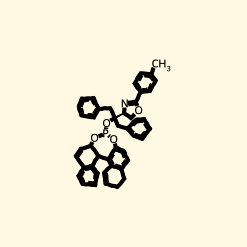 Cc1ccc(C2=N[C@H](C(Cc3ccccc3)(Cc3ccccc3)OP3Oc4ccc5c(c4C4c6ccccc6C=CC4O3)C=CCC5)CO2)cc1